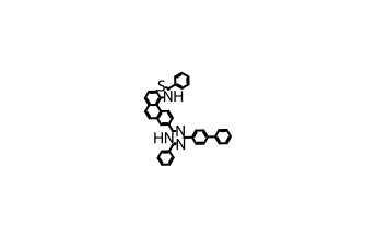 c1ccc(C2=NC(c3ccc(-c4ccccc4)cc3)=NC(c3ccc4c(ccc5ccc6c(c54)NC(c4ccccc4)S6)c3)N2)cc1